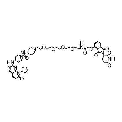 O=C(COc1cccc2c1C(=O)N(C1CCC(=O)NC1=O)C2=O)NCCOCCOCCOCCOCCN1CCN(S(=O)(=O)N2CCC(Nc3ncc4ccc(=O)n(C5CCCC5)c4n3)CC2)CC1